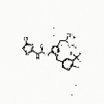 CC(C)Cc1cc(OC(=O)Nc2ncc(Cl)s2)n(Cc2ccc(F)c(C(F)(F)F)c2)c1